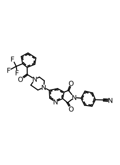 N#Cc1ccc(N2C(=O)c3cc(N4CCN(C(=O)c5ccccc5C(F)(F)F)CC4)cnc3C2=O)cc1